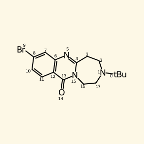 CC(C)(C)N1CCc2nc3cc(Br)ccc3c(=O)n2CC1